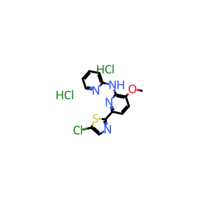 COc1ccc(-c2ncc(Cl)s2)nc1Nc1ccccn1.Cl.Cl